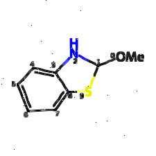 COC1Nc2ccccc2S1